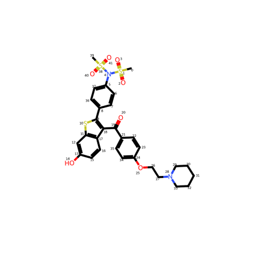 CS(=O)(=O)N(c1ccc(-c2sc3cc(O)ccc3c2C(=O)c2ccc(OCCN3CCCCC3)cc2)cc1)S(C)(=O)=O